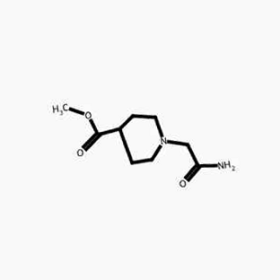 COC(=O)C1CCN(CC(N)=O)CC1